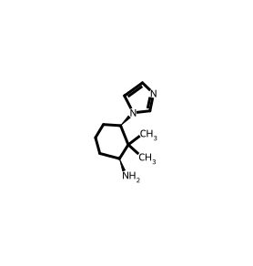 CC1(C)[C@@H](N)CCC[C@H]1n1ccnc1